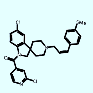 CSc1ccc(/C=C\CN2CCC3(CC2)CN(C(=O)c2ccnc(Cl)c2)c2ccc(Cl)cc23)cc1